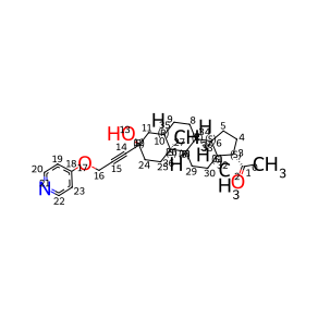 CC(=O)[C@H]1CC[C@H]2[C@@H]3CC[C@@H]4C[C@@](O)(C#CCOc5ccncc5)CC[C@]4(C)[C@H]3CC[C@]12C